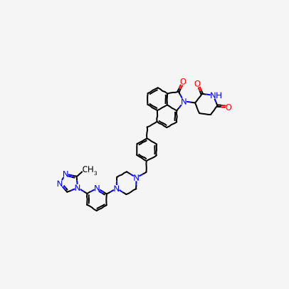 Cc1nncn1-c1cccc(N2CCN(Cc3ccc(Cc4ccc5c6c(cccc46)C(=O)N5C4CCC(=O)NC4=O)cc3)CC2)n1